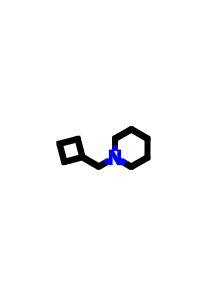 C1CCN(CC2CCC2)CC1